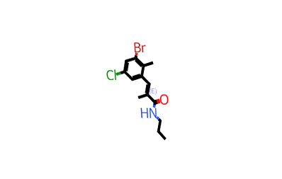 CCCNC(=O)/C(C)=C/c1cc(Cl)cc(Br)c1C